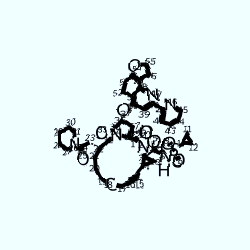 O=C1N[C@]2(C(=O)NS(=O)(=O)C3CC3)CC2C=CCCCCC[C@H](CC(=O)N2CCCCC2)C(=O)N2C[C@H](Oc3cc(-c4ccccn4)nc4c5c(ccc34)OCC5)C[C@@H]12